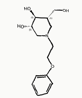 OC[C@@H]1CN(CCOc2ccccc2)C[C@H](O)[C@H]1O